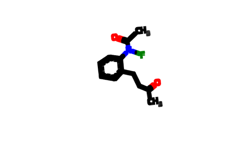 CC(=O)CCc1ccccc1N(F)C(C)=O